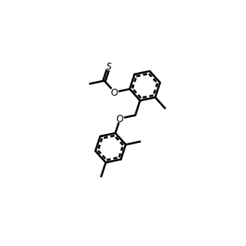 CC(=S)Oc1cccc(C)c1COc1ccc(C)cc1C